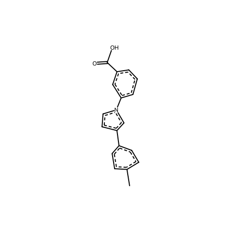 Cc1ccc(-c2ccn(-c3cccc(C(=O)O)c3)c2)cc1